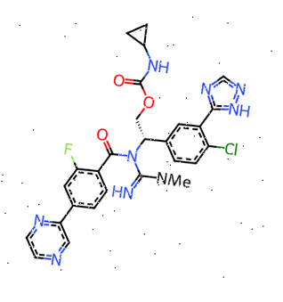 CNC(=N)N(C(=O)c1ccc(-c2cnccn2)cc1F)[C@H](COC(=O)NC1CC1)c1ccc(Cl)c(-c2ncn[nH]2)c1